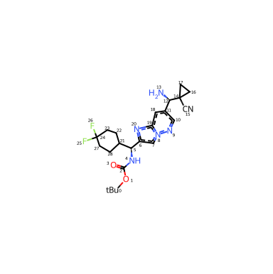 CC(C)(C)OC(=O)N[C@H](c1cn2ncc([C@@H](N)C3(C#N)CC3)cc2n1)C1CCC(F)(F)CC1